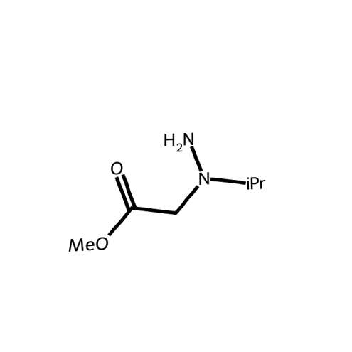 COC(=O)CN(N)C(C)C